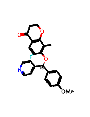 COc1ccc([C@@H](Oc2c(F)cc3c(c2C)OCCC3=O)c2ccncc2)cc1